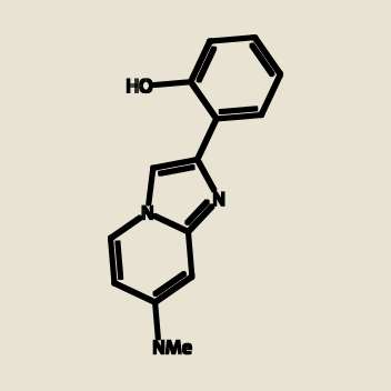 CNc1ccn2cc(-c3ccccc3O)nc2c1